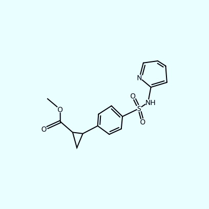 COC(=O)C1CC1c1ccc(S(=O)(=O)Nc2ccccn2)cc1